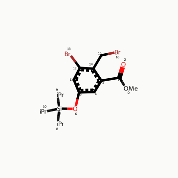 COC(=O)c1cc(O[Si](C(C)C)(C(C)C)C(C)C)cc(Br)c1CBr